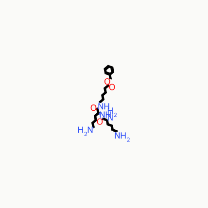 NCCCCC(N)C(=O)NC(CCCCN)C(=O)NCCCCCC(=O)OCc1ccccc1